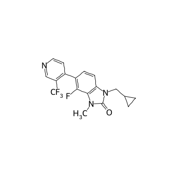 Cn1c(=O)n(CC2CC2)c2ccc(-c3ccncc3C(F)(F)F)c(F)c21